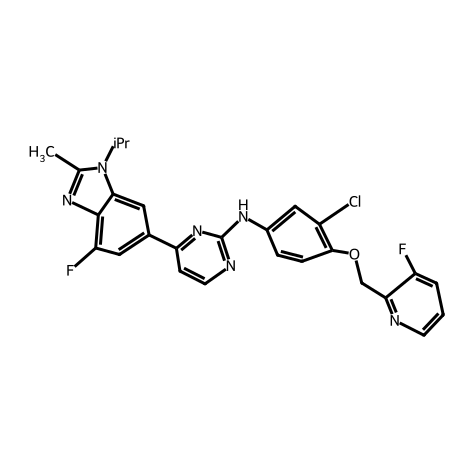 Cc1nc2c(F)cc(-c3ccnc(Nc4ccc(OCc5ncccc5F)c(Cl)c4)n3)cc2n1C(C)C